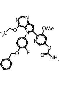 COc1cc(OC(N)=O)cnc1-c1cc2ncnc(OCC(F)(F)F)c2n1-c1ccc(OCc2ccccc2)c(F)c1